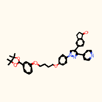 CC1(C)OC(c2cccc(OCCCCOc3ccc(-n4cc(-c5ccc6c(c5)CCC6=O)c(-c5ccncc5)n4)cc3)c2)OC1(C)C